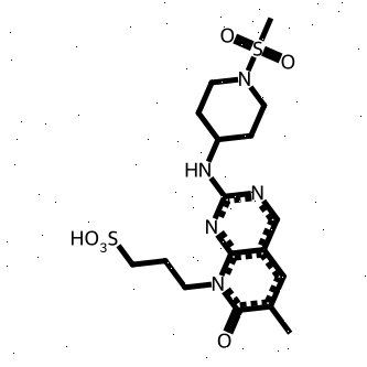 Cc1cc2cnc(NC3CCN(S(C)(=O)=O)CC3)nc2n(CCCS(=O)(=O)O)c1=O